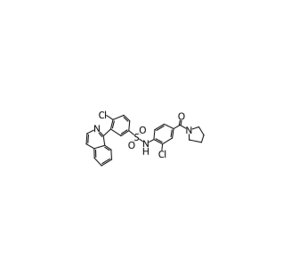 O=C(c1ccc(NS(=O)(=O)c2ccc(Cl)c(-c3nccc4ccccc34)c2)c(Cl)c1)N1CCCC1